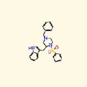 O=S(=O)(c1ccccc1)N1CCN(Cc2ccccc2)CC1Cc1c[nH]c2ccccc12